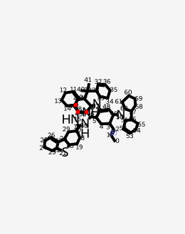 C/C=C/C1CC(C2NC(C3C=CCCC3)NC(C3CCC4SC5CCCC=C5C4C3)N2)C(N2C3CCC=CC3C(C)(C)C3CCCCC32)=CC1N1C2C=CCCC2C2CCCCC21